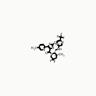 Cc1ccc(-c2sc(C)nc2C(=O)N2CC(F)(F)C[C@@H](C)[C@H]2CNc2cnc(C(F)(F)F)cn2)nc1